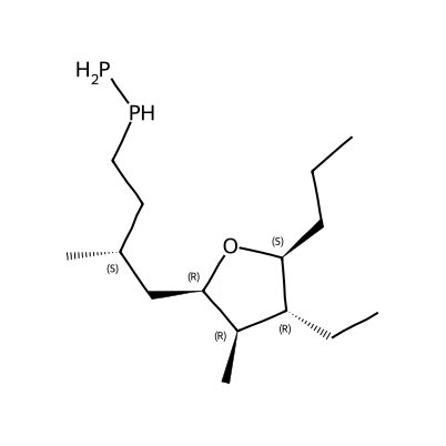 CCC[C@@H]1O[C@H](C[C@H](C)CCPP)[C@H](C)[C@H]1CC